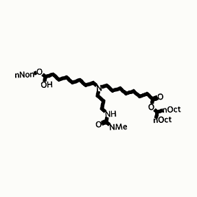 CCCCCCCCCOC(O)CCCCCCCN(CCCCCCCC(=O)OC(CCCCCCCC)CCCCCCCC)CCCNC(=O)NC